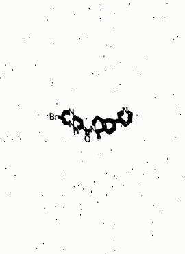 CC1c2ccc(-c3cccnc3)cc2CCN1C(=O)c1cc2ncc(Br)cn2n1